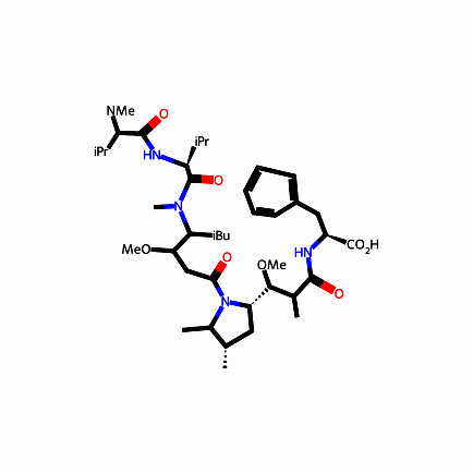 CCC(C)C(C(CC(=O)N1C(C)[C@@H](C)C[C@H]1C(OC)C(C)C(=O)N[C@@H](Cc1ccccc1)C(=O)O)OC)N(C)C(=O)[C@@H](NC(=O)C(NC)C(C)C)C(C)C